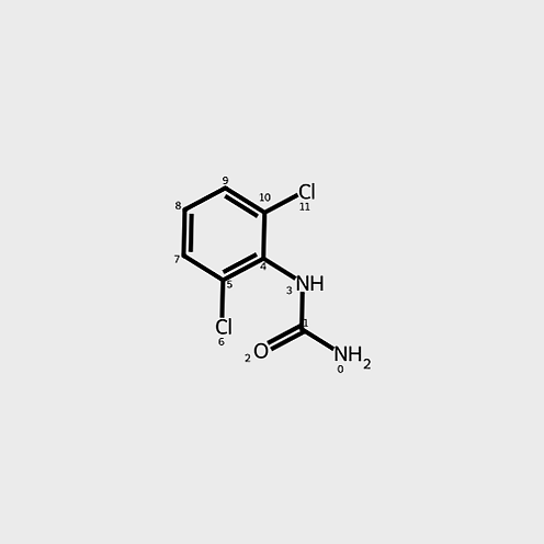 NC(=O)Nc1c(Cl)cccc1Cl